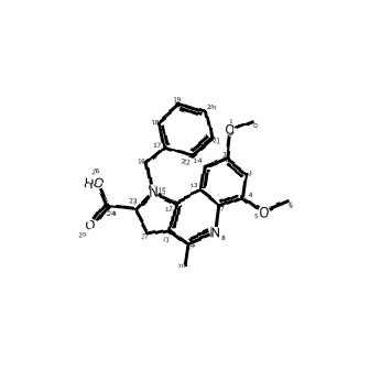 COc1cc(OC)c2nc(C)c3c(c2c1)N(Cc1ccccc1)C(C(=O)O)C3